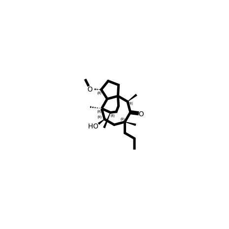 CCC[C@]1(C)C[C@@H](O)[C@@]2(C)C3[C@H](OC)CCC3(CC[C@H]2C)[C@@H](C)C1=O